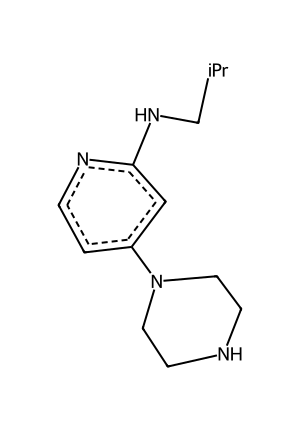 CC(C)CNc1cc(N2CCNCC2)ccn1